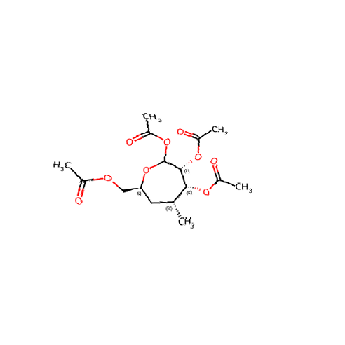 CC(=O)OC[C@@H]1C[C@@H](C)[C@@H](OC(C)=O)[C@@H](OC(C)=O)C(OC(C)=O)O1